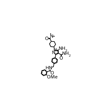 COc1ccccc1C(=O)NCc1ccc(-c2nn(C3CCC(C(=O)N(C)C)CC3)c(N)c2C(N)=O)cc1